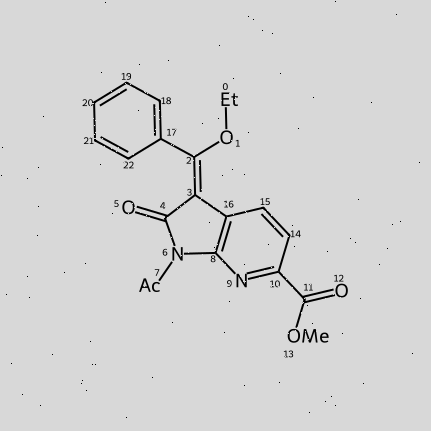 CCO/C(=C1/C(=O)N(C(C)=O)c2nc(C(=O)OC)ccc21)c1ccccc1